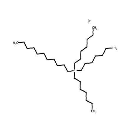 CCCCCCCCCCC[P+](CCCCCCC)(CCCCCCC)CCCCCCC.[Br-]